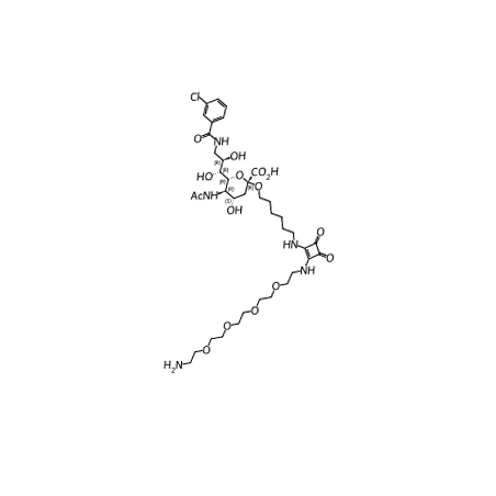 CC(=O)N[C@H]1[C@H]([C@H](O)[C@H](O)CNC(=O)c2cccc(Cl)c2)O[C@@](OCCCCCCNc2c(NCCOCCOCCOCCOCCN)c(=O)c2=O)(C(=O)O)C[C@@H]1O